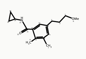 COCCCc1cc(C)c(C)c(C(=O)NC2CC2)c1